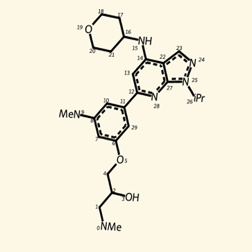 CNCC(O)COc1cc(NC)cc(-c2cc(NC3CCOCC3)c3cnn(C(C)C)c3n2)c1